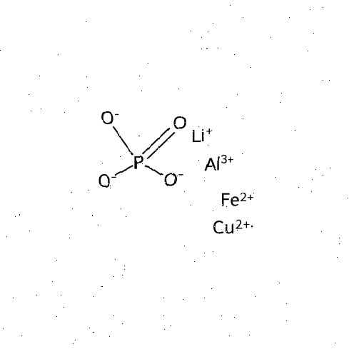 O=P([O-])([O-])[O-].[Al+3].[Cu+2].[Fe+2].[Li+]